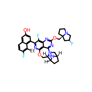 CCc1c(F)ccc2cc(O)cc(-c3nc4c5c(nc(OC[C@@]67CCCN6C[C@@H](F)C7)nc5c3F)N3C[C@@H]5CC[C@@H](N5)[C@@H]3CO4)c12